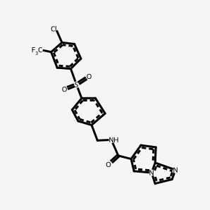 O=C(NCc1ccc(S(=O)(=O)c2ccc(Cl)c(C(F)(F)F)c2)cc1)c1ccc2nccn2c1